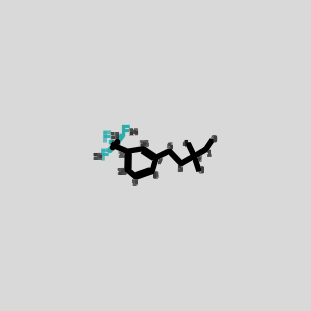 CCC(C)(C)CCc1cccc(C(F)(F)F)c1